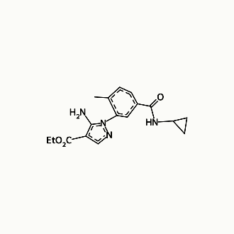 CCOC(=O)c1cnn(-c2cc(C(=O)NC3CC3)ccc2C)c1N